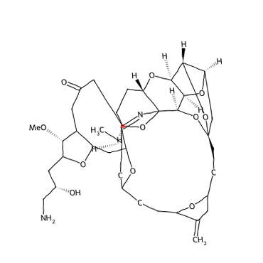 C=C1CC2CC[C@@]34C[C@H]5O[C@@H]6[C@@H](O[C@H]7CC[C@@H]8CC(=O)CC9C(CC%10OC(CCC1O2)C[C@@H](C)/C%10=N\C7(O8)[C@@H]6O3)OC(C[C@H](O)CN)[C@@H]9OC)[C@H]5O4